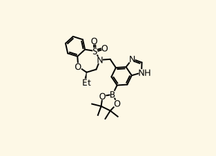 CC[C@@H]1CN(Cc2cc(B3OC(C)(C)C(C)(C)O3)cc3[nH]cnc23)S(=O)(=O)c2ccccc2O1